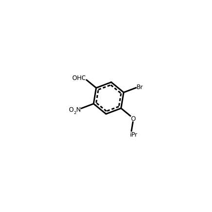 CC(C)Oc1cc([N+](=O)[O-])c(C=O)cc1Br